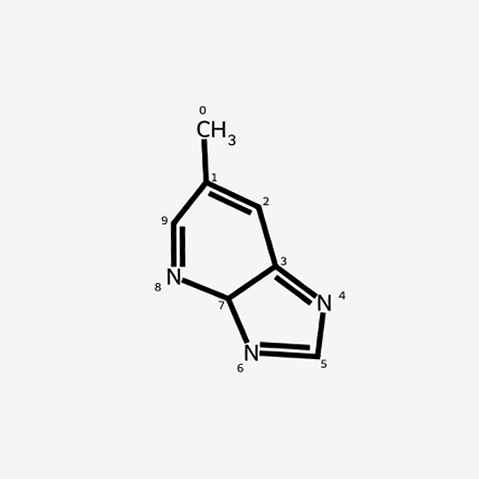 CC1=CC2=NC=NC2N=C1